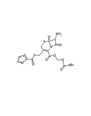 CC(C)(C)C(=O)OCOC(=O)C1=C(CSC(=O)c2nccs2)CS[C@@H]2C(N)C(=O)N12